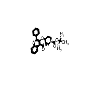 CC(C)(C)OC(=O)N1CCC(Oc2c(-c3ccccc3)nc3ccccc3c2C(=O)O)CC1